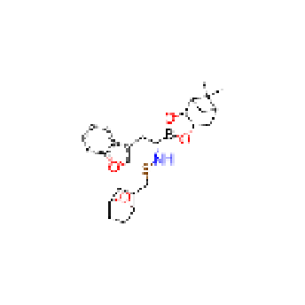 CC1(C)C2CC3OB(C(Cc4coc5ccccc45)NSCC4CC5CCC4O5)OC3C1C2